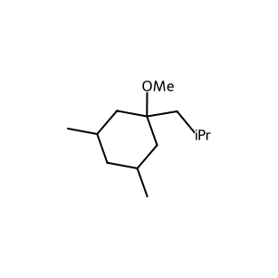 COC1(CC(C)C)CC(C)CC(C)C1